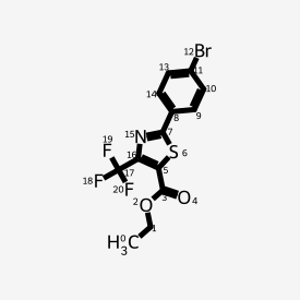 CCOC(=O)c1sc(-c2ccc(Br)cc2)nc1C(F)(F)F